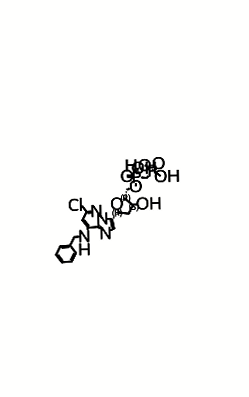 O=P(O)(O)CP(=O)(O)OC[C@H]1O[C@@H](c2cnc3c(NCc4ccccc4)cc(Cl)nn23)C[C@@H]1O